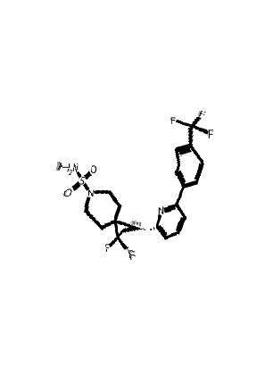 NS(=O)(=O)N1CCC2(CC1)[C@H](c1cccc(-c3ccc(C(F)(F)F)cc3)n1)C2(F)F